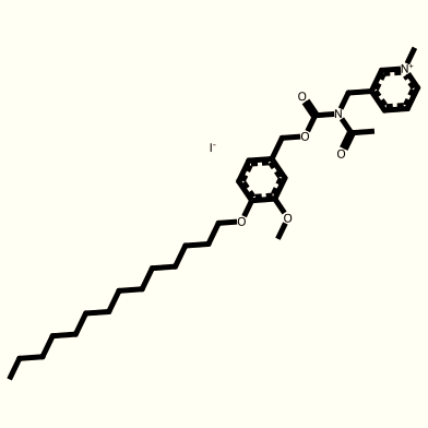 CCCCCCCCCCCCCCOc1ccc(COC(=O)N(Cc2ccc[n+](C)c2)C(C)=O)cc1OC.[I-]